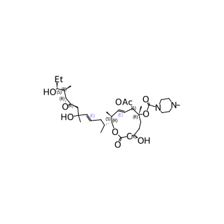 CC[C@H](O)[C@@H](C)[C@H]1O[C@@H]1CC(C)(O)/C=C/CC(C)[C@H]1OC(=O)C[C@H](O)CC[C@@](C)(OC(=O)N2CCN(C)CC2)[C@@H](OC(C)=O)/C=C/[C@@H]1C